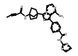 CC#CC(=O)NC12CCC(c3nc(-c4ccc(C(=O)Nc5nccs5)cc4)c4c(N)nccn34)(CC1)C2